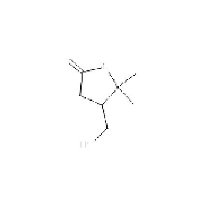 CC1(C)NC(=O)CC1CO